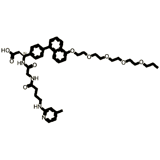 CCCOCCOCCOCCOCCOc1cccc2c(-c3ccc([C@H](CC(=O)O)NC(=O)CNC(=O)CCCNc4cc(C)ccn4)cc3)cccc12